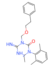 CCN(C(=O)N(COCCc1ccccc1)C(=N)N)c1c(C)cccc1C